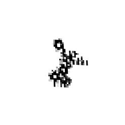 CCCCc1c(C(F)(F)F)n(CCC2CCCCC2)c(=O)n1Cc1ccc(-c2ccccc2-c2nnn[nH]2)cc1